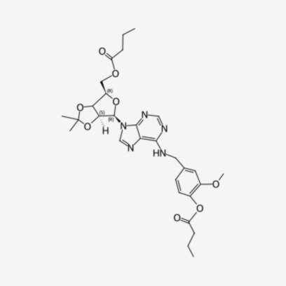 CCCC(=O)OC[C@H]1O[C@@H](n2cnc3c(NCc4ccc(OC(=O)CCC)c(OC)c4)ncnc32)[C@H]2OC(C)(C)OC12